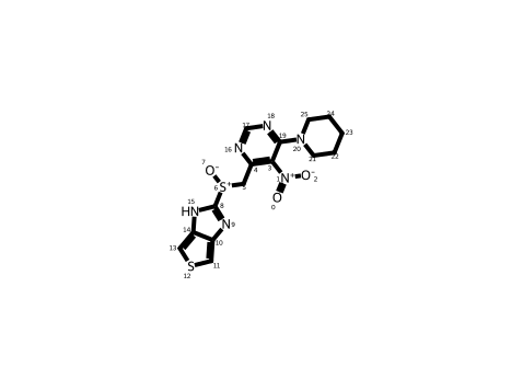 O=[N+]([O-])c1c(C[S+]([O-])c2nc3cscc3[nH]2)ncnc1N1CCCCC1